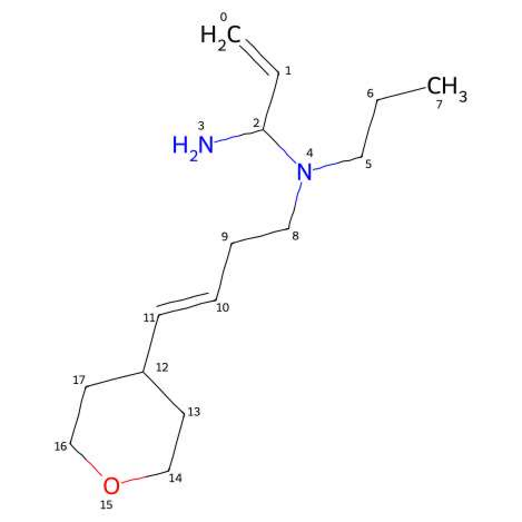 C=CC(N)N(CCC)CC/C=C/C1CCOCC1